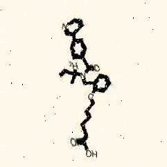 [2H]C(C)(CC)N(Cc1ccccc1OCCCCCC(=O)O)C(=O)c1ccc(-c2cccnc2)cc1